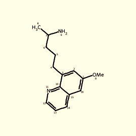 COc1cc(CCCC(C)N)c2ncccc2c1